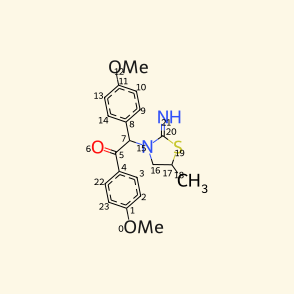 COc1ccc(C(=O)C(c2ccc(OC)cc2)N2CC(C)SC2=N)cc1